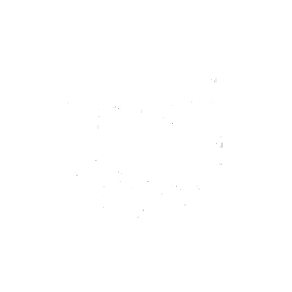 CC(C)(C)OC(=O)NCCC[N+](C)(C)CCCN.CC(C)(C)OC(=O)NCCC[N+](C)(C)CCCN.O=C([O-])[O-]